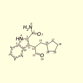 NC(=O)c1[nH]c2ccccc2c1C(C=O)CC1CCCC1